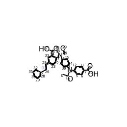 CC(=O)N(c1ccc(C(=O)O)cc1)c1ccc([N+](C)(C=O)c2ccc(/C=C/c3ccccc3)cc2C(=O)O)cc1